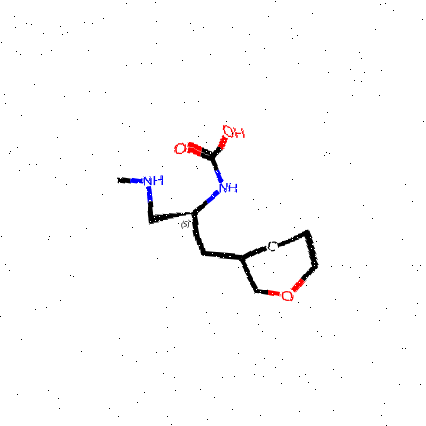 CNC[C@H](CC1CCCOC1)NC(=O)O